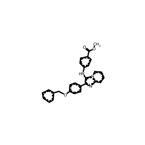 COC(=O)c1ccc(Nc2c(-c3ccc(OCc4ccccc4)cc3)nc3ccccn23)cc1